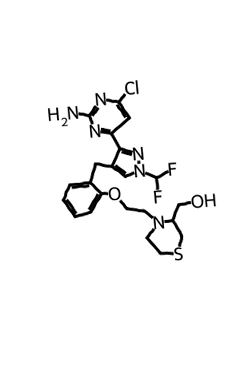 Nc1nc(Cl)cc(-c2nn(C(F)F)cc2Cc2ccccc2OCCN2CCSCC2CO)n1